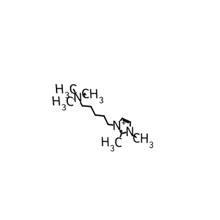 Cc1n(C)cc[n+]1CCCCC[N+](C)(C)C